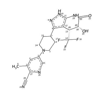 Cc1cc(N2CCC(c3n[nH]c4c3[C@@H](C(F)(F)F)[C@@H](O)C(=O)N4)CC2)cnc1C#N